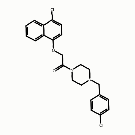 O=C(COc1ccc(Cl)c2ccccc12)N1CCN(Cc2ccc(Cl)cc2)CC1